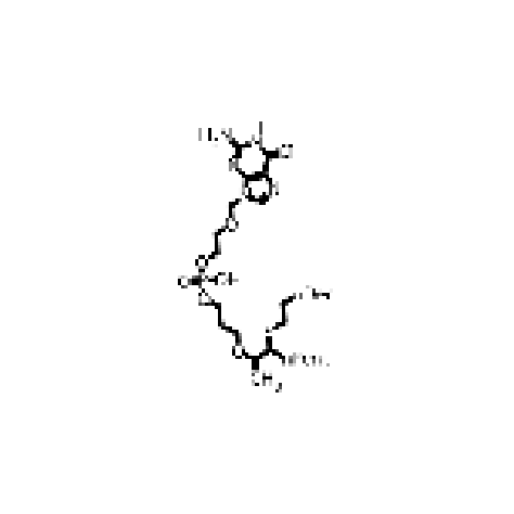 CCCCCCCCCCCCSC(CCCCC)C(C)OCCCOP(=O)(O)OCCOCn1cnc2c(=O)[nH]c(N)nc21